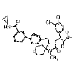 CN(C(=O)CC1C(=O)NOc2cc(Cl)c(Cl)cc21)[N+]1(CCc2ccc(-c3cccc(C(=O)NC4CC4)c3)cc2)CCOCC1